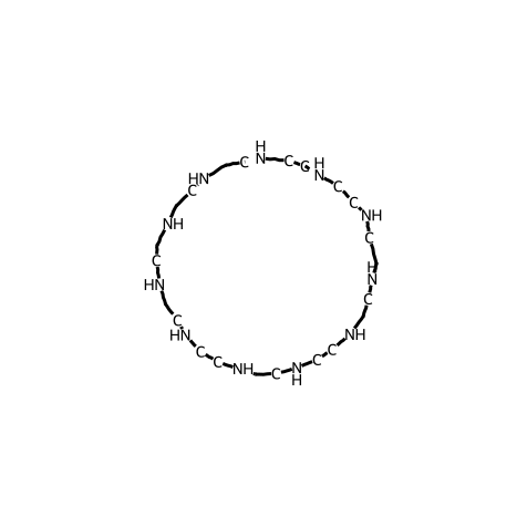 C1CNCCNCCNCCNCCNCCNCCNCCNCCNCCNCCN1